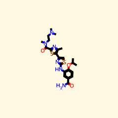 Cc1nc(C(=O)N(C)CCN(C)C)sc1-c1csc(Nc2cc(C(N)=O)ccc2OC(C)C)n1